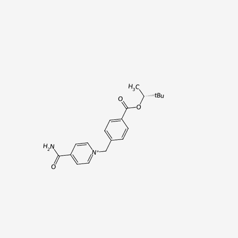 C[C@@H](OC(=O)c1ccc(C[n+]2ccc(C(N)=O)cc2)cc1)C(C)(C)C